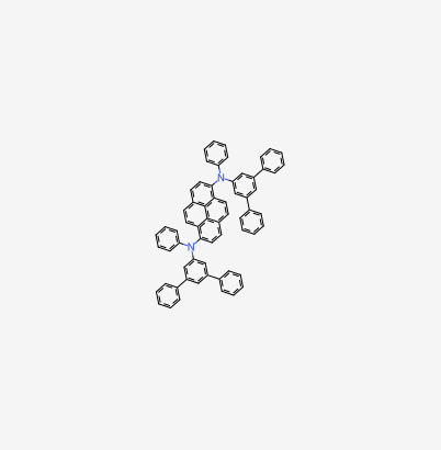 c1ccc(-c2cc(-c3ccccc3)cc(N(c3ccccc3)c3ccc4ccc5c(N(c6ccccc6)c6cc(-c7ccccc7)cc(-c7ccccc7)c6)ccc6ccc3c4c65)c2)cc1